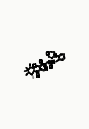 C[C@@H]1[C@@H](C)C(C)(C)[C@@H](C)C[C@H]1Nc1cnn(CC(=O)NCc2ccccc2N2CCOCC2)c(=O)c1Cl